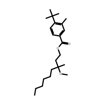 CCCCCCC(C)(CCOC(=O)c1ccc(C(C)(C)C)c(C)c1)OC